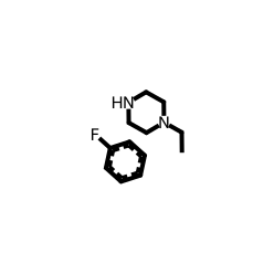 CCN1CCNCC1.Fc1ccccc1